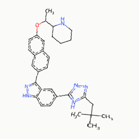 CC(Oc1ccc2cc(-c3n[nH]c4ccc(-c5nnc(CC(C)(C)C)[nH]5)cc34)ccc2c1)C1CCCCN1